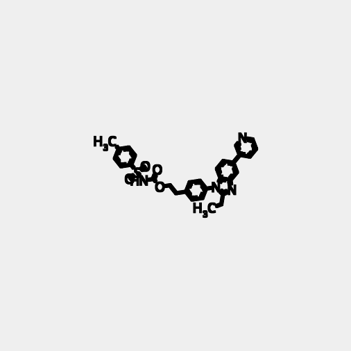 CCc1nc2cc(-c3cccnc3)ccc2n1-c1ccc(CCOC(=O)NS(=O)(=O)c2ccc(C)cc2)cc1